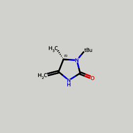 C=C1NC(=O)N(C(C)(C)C)[C@H]1C